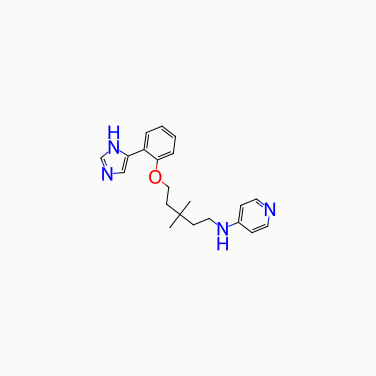 CC(C)(CCNc1ccncc1)CCOc1ccccc1-c1cnc[nH]1